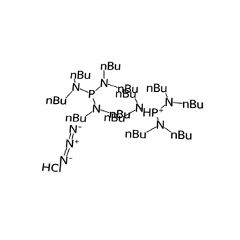 CCCCN(CCCC)P(N(CCCC)CCCC)N(CCCC)CCCC.CCCCN(CCCC)[PH+](N(CCCC)CCCC)N(CCCC)CCCC.Cl.[N-]=[N+]=[N-]